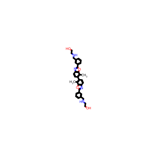 Cc1c(-c2ccc3nc(-c4cccc(CNCCO)c4)oc3c2C)ccc2nc(-c3cccc(CNCCO)c3)oc12